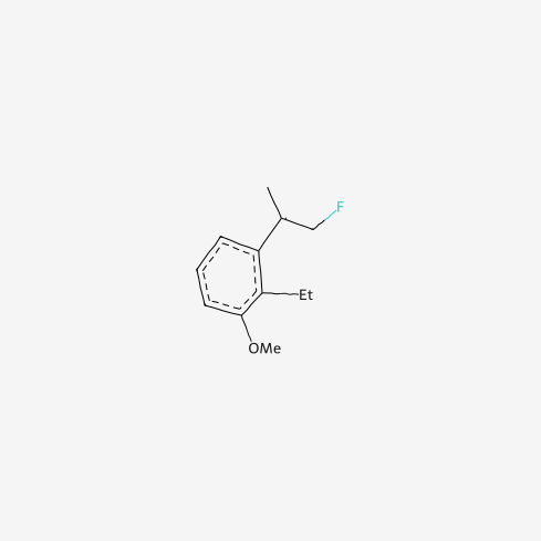 CCc1c(OC)cccc1[C](C)CF